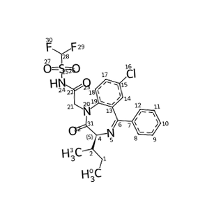 CCC(C)[C@@H]1N=C(c2ccccc2)c2cc(Cl)ccc2N(CC(=O)NS(=O)(=O)C(F)F)C1=O